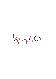 CCC(C)(C)C(=O)OCCNC(=O)OC1CCC2OC2C1